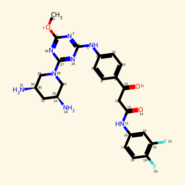 COc1nc(Nc2ccc(C(=O)CC(=O)Nc3ccc(F)c(F)c3)cc2)nc(N2C[C@H](N)C[C@H](N)C2)n1